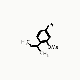 C/C=C(/C)c1ccc(C(C)C)cc1OC